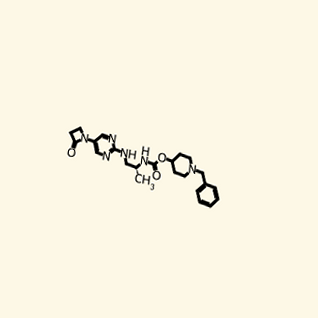 C[C@H](CNc1ncc(N2CCC2=O)cn1)NC(=O)OC1CCN(Cc2ccccc2)CC1